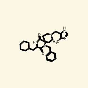 Cc1nc[nH]c1CN1CCC2(CC1)C(=O)NC(CC1CCCCC1)C(=O)N2Cc1ccccc1